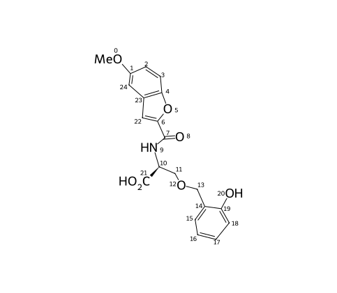 COc1ccc2oc(C(=O)N[C@@H](COCc3ccccc3O)C(=O)O)cc2c1